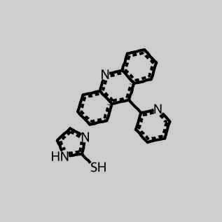 Sc1ncc[nH]1.c1ccc(-c2c3ccccc3nc3ccccc23)nc1